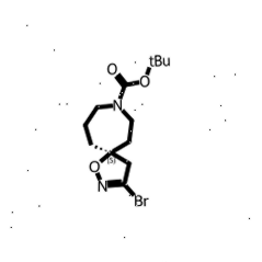 CC(C)(C)OC(=O)N1CCC[C@]2(CC1)CC(Br)=NO2